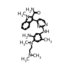 Cc1cc(N(C)CCN(C)C)c(N)cc1Nc1nccc(-c2c(C(N)=O)n(C)c3ccccc23)n1